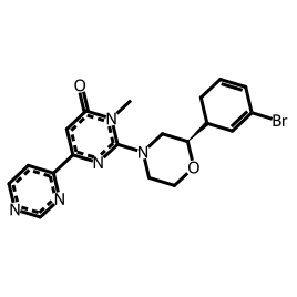 Cn1c(N2CCO[C@H](C3C=C(Br)C=CC3)C2)nc(-c2ccncn2)cc1=O